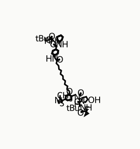 Cc1ncsc1-c1ccc(CNC(=O)[C@@H]2C[C@@H](O)CN2C(=O)[C@@H](NC(=O)C2(F)CC2)C(C)(C)C)c(OCCCCCCCCCCCC(=O)Nc2ccc(C(=O)Nc3ccccc3NC(=O)OC(C)(C)C)cc2)c1